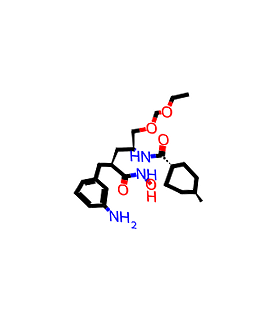 CCOCOC[C@H](C[C@H](Cc1cccc(N)c1)C(=O)NO)NC(=O)[C@H]1CC[C@H](C)CC1